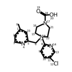 Cc1ccnc(C[N+]2(c3ccc(Cl)cn3)CCN(C(=O)O)CC2)c1